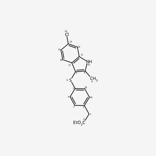 CCOC(=O)Cc1ccc(Sc2c(C)[nH]c3cc(Cl)ccc23)cc1